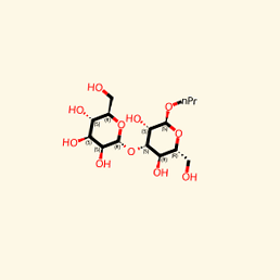 CCCO[C@H]1O[C@H](CO)[C@@H](O)[C@H](O[C@H]2O[C@H](CO)[C@@H](O)[C@H](O)[C@@H]2O)[C@@H]1O